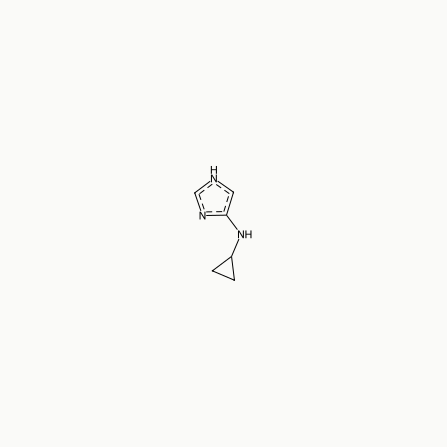 c1nc(NC2CC2)c[nH]1